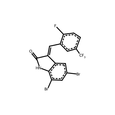 O=C1Nc2c(Br)cc(Br)cc2C1=Cc1cc(C(F)(F)F)ccc1F